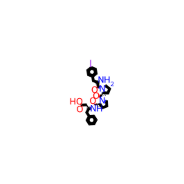 N[C@@H](Cc1ccc(I)cc1)C(=O)N1CCC[C@H]1C(=O)N1CCC[C@H]1C(=O)N[C@H](CC(=O)O)Cc1ccccc1